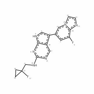 Fc1cc(-c2c[nH]c3nc(NCC4(F)CC4)ncc23)cn2ccnc12